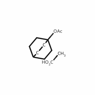 CC(=O)O.CC(=O)OC12CCC(CC1)CC2